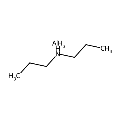 CCCNCCC.[AlH3]